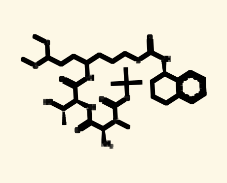 COC(CCC(CCCSC(=O)N[C@@H]1CCCc2ccccc21)NC(=O)[C@@H](NC(=O)[C@H](N)N(C)C(=O)OC(C)(C)C)[C@H](C)O)OC